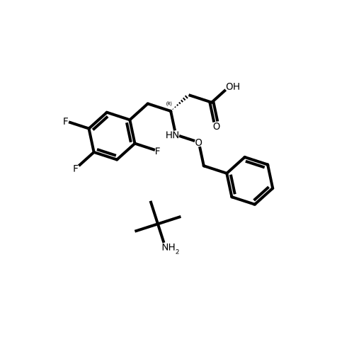 CC(C)(C)N.O=C(O)C[C@@H](Cc1cc(F)c(F)cc1F)NOCc1ccccc1